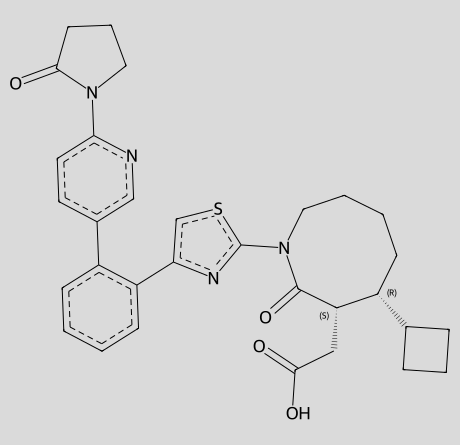 O=C(O)C[C@@H]1C(=O)N(c2nc(-c3ccccc3-c3ccc(N4CCCC4=O)nc3)cs2)CCCC[C@@H]1C1CCC1